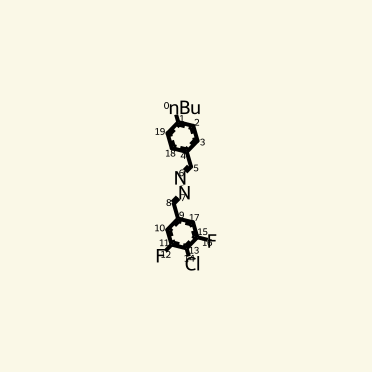 CCCCc1ccc(C=NN=Cc2cc(F)c(Cl)c(F)c2)cc1